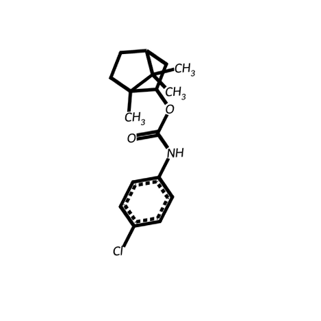 CC1(C)C2CCC1(C)C(OC(=O)Nc1ccc(Cl)cc1)C2